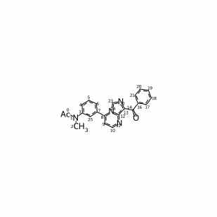 CC(=O)N(C)c1cccc(-c2ccnc3c(C(=O)c4ccccc4)ncn23)c1